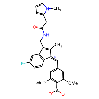 COc1cc(/C=C2/C(C)=C(CNC(=O)Cc3cccn3C)c3cc(F)ccc32)cc(OC)c1B(O)O